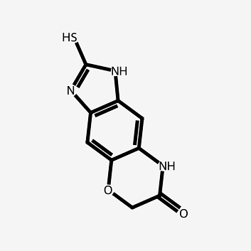 O=C1COc2cc3nc(S)[nH]c3cc2N1